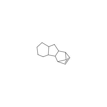 C1=CC2CC1C1CC3CCCCC3C21